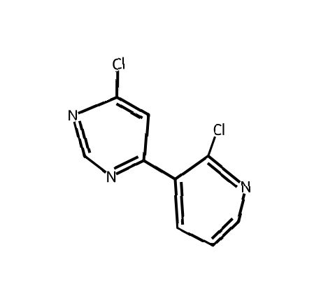 Clc1cc(-c2cccnc2Cl)ncn1